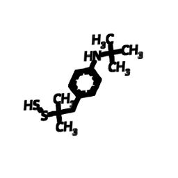 CC(C)(C)Nc1ccc(CC(C)(C)SS)cc1